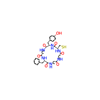 O=C1CNC(=O)[C@@H](Cc2ccccc2)NC(=O)CNC(=O)[C@@H](Cc2ccc(O)cc2)NC(=O)[C@@H](CS)NC(=O)CN1